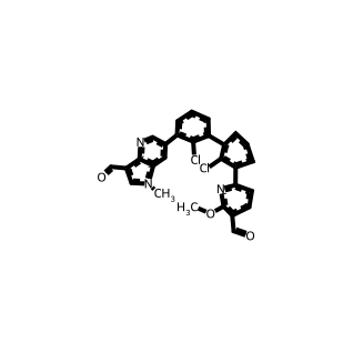 COc1nc(-c2cccc(-c3cccc(-c4cnc5c(C=O)cn(C)c5c4)c3Cl)c2Cl)ccc1C=O